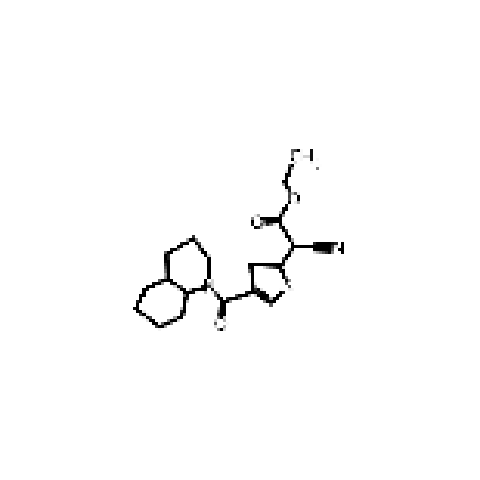 CCOC(=O)C(C#N)C1CC(C(=O)N2CCCC3CCCCC32)=CS1